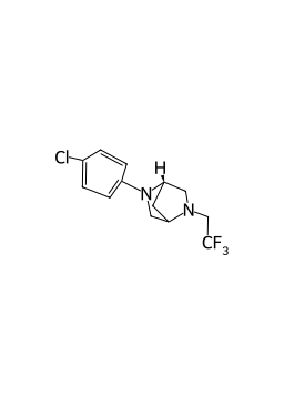 FC(F)(F)CN1C[C@@H]2CC1CN2c1ccc(Cl)cc1